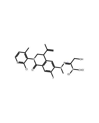 C=C(C)C1CN(c2c(C)ccnc2Cl)C(=O)c2cc(F)c(N(C)/N=C(/CO)N(C=O)CC)cc21